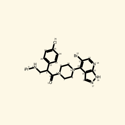 CC(C)NCC(C(=O)N1CCN(c2c(Br)cnc3[nH]ncc23)CC1)c1ccc(Cl)cc1